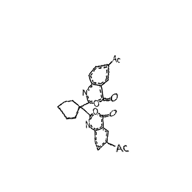 CC(=O)c1ccc2nc(C3(c4nc5ccc(C(C)=O)cc5c(=O)o4)CCCCC3)oc(=O)c2c1